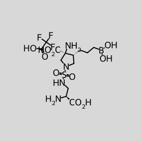 N[C@@H](CNS(=O)(=O)N1C[C@@H](CCCB(O)O)[C@@](N)(C(=O)O)C1)C(=O)O.O=C(O)C(F)(F)F